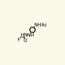 CC(=O)Nc1ccc(NNC(=O)CF)cc1